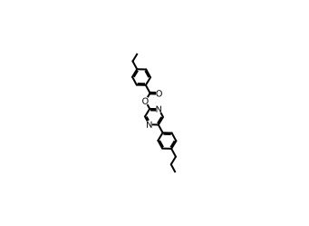 CCCc1ccc(-c2cnc(OC(=O)c3ccc(CC)cc3)cn2)cc1